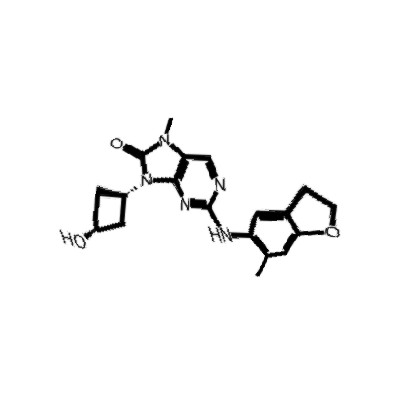 Cc1cc2c(cc1Nc1ncc3c(n1)n([C@H]1C[C@H](O)C1)c(=O)n3C)CCO2